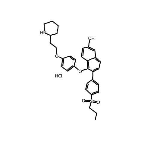 CCCS(=O)(=O)c1ccc(-c2ccc3cc(O)ccc3c2Oc2ccc(OCCC3CCCCN3)cc2)cc1.Cl